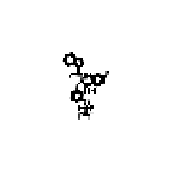 O=C(N[C@H](Cc1cccc(OC(F)(F)C(F)F)c1)[C@@H](O)c1ccc(F)cc1)C1=C2CCCC=C2C=C1